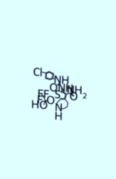 NC(=O)c1c(NC(=O)Nc2ccc(Cl)cc2)sc2c1CCCNC2.O=C(O)C(F)(F)F